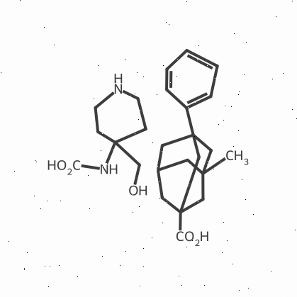 CC12CC3CC(C(=O)O)(C1)CC(c1ccccc1)(C3)C2.O=C(O)NC1(CO)CCNCC1